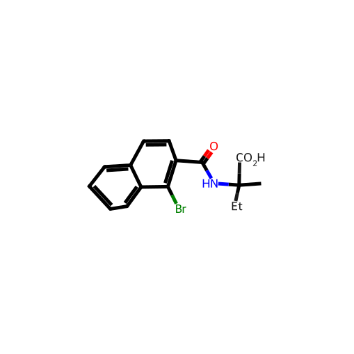 CCC(C)(NC(=O)c1ccc2ccccc2c1Br)C(=O)O